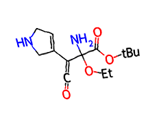 CCOC(N)(C(=O)OC(C)(C)C)C(=C=O)C1=CCNC1